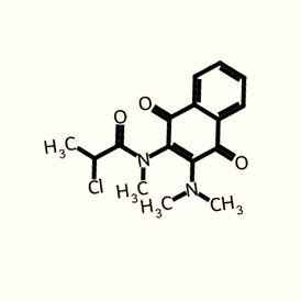 CC(Cl)C(=O)N(C)C1=C(N(C)C)C(=O)c2ccccc2C1=O